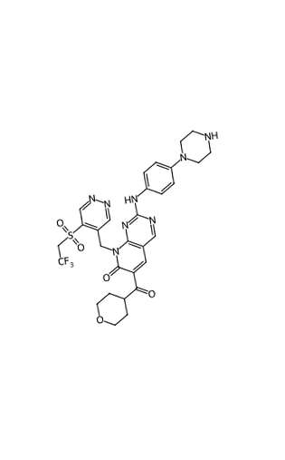 O=C(c1cc2cnc(Nc3ccc(N4CCNCC4)cc3)nc2n(Cc2cnncc2S(=O)(=O)CC(F)(F)F)c1=O)C1CCOCC1